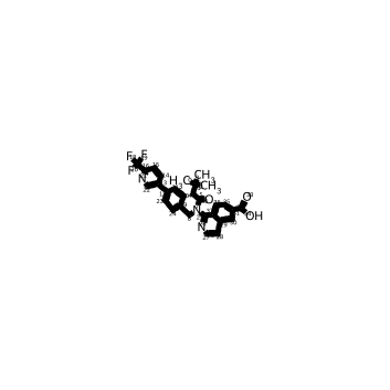 CC(C)(C)CC(=O)N(Cc1ccc(-c2ccc(C(F)(F)F)nc2)cc1)c1nccc2cc(C(=O)O)ccc12